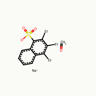 C=O.CCc1c(CC)c(S(=O)(=O)[O-])c2ccccc2c1CC.[Na+]